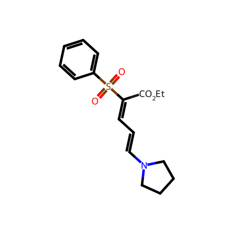 CCOC(=O)C(=CC=CN1CCCC1)S(=O)(=O)c1ccccc1